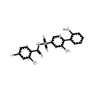 COc1ccccc1-c1ncc(S(=O)(=O)NC(=O)c2ccc(F)cc2C(F)(F)F)cc1C